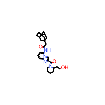 O=C(CC12CC3CC(C1)C31CC1C2)Nc1cccc2nc(C(=O)N3CCCCC3CCO)cn12